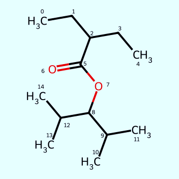 CCC(CC)C(=O)OC(C(C)C)C(C)C